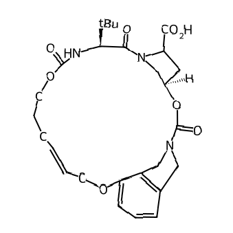 CC(C)(C)[C@@H]1NC(=O)OCCC/C=C/COc2cccc3c2CN(C3)C(=O)O[C@@H]2CC(C(=O)O)N(C2)C1=O